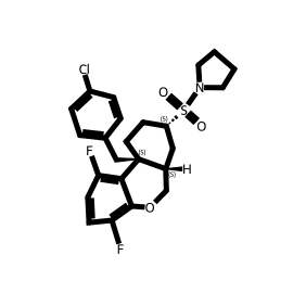 O=S(=O)([C@H]1CC[C@@]2(Cc3ccc(Cl)cc3)c3c(F)ccc(F)c3OC[C@H]2C1)N1CCCC1